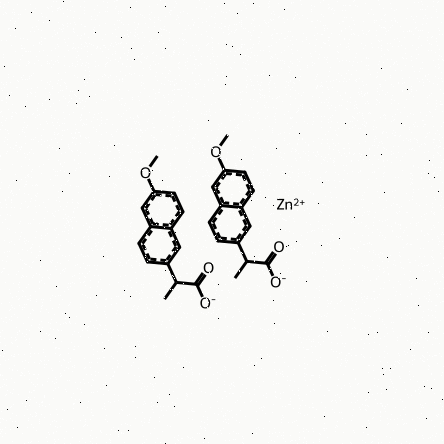 COc1ccc2cc(C(C)C(=O)[O-])ccc2c1.COc1ccc2cc(C(C)C(=O)[O-])ccc2c1.[Zn+2]